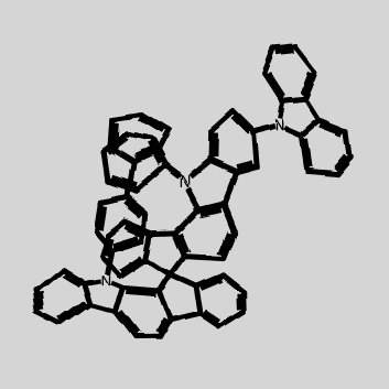 c1ccc(-c2ccc(-n3c4ccccc4c4ccc5c(c43)C3(c4ccccc4-5)c4ccccc4-c4c3ccc3c5cc(-n6c7ccccc7c7ccccc76)ccc5n(-c5ccccc5)c43)cc2)cc1